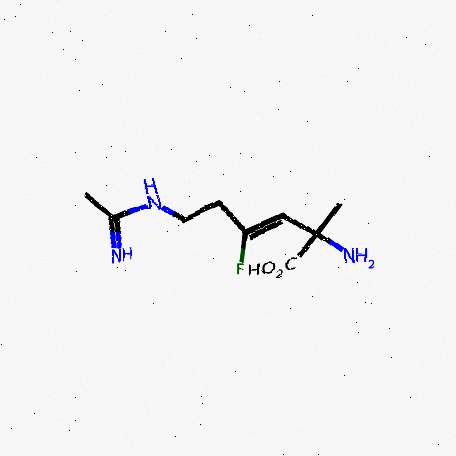 CC(=N)NCC/C(F)=C/C(C)(N)C(=O)O